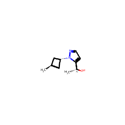 C[C@@H](O)c1ccnn1[C@H]1C[C@H](C)C1